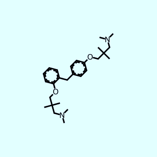 CN(C)CC(C)(C)COc1ccc(Cc2ccccc2OCC(C)(C)CN(C)C)cc1